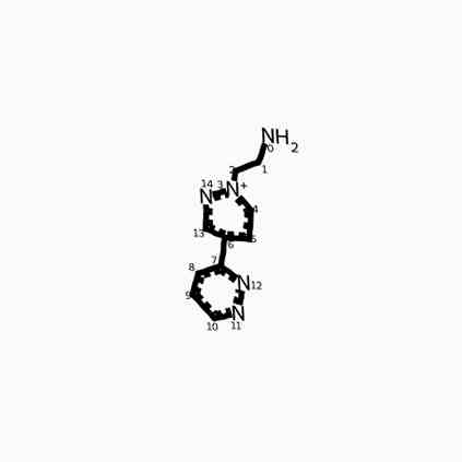 NCC[n+]1ccc(-c2cccnn2)cn1